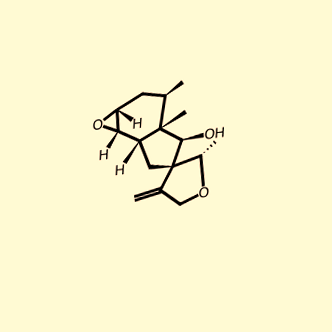 C=C1CO[C@@H](C)[C@]12C[C@@H]1[C@@H]3O[C@@H]3C[C@@H](C)[C@]1(C)[C@H]2O